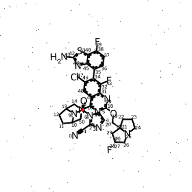 N#Cc1nccn1C(=O)N1C2CCC1CN(c1nc(OC[C@@]34CCCN3C[C@H](F)C4)nc3c(F)c(-c4ccc(F)c5sc(N)nc45)c(Cl)cc13)C2